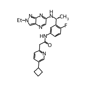 CCn1cc2ncc(N[C@@H](C)c3cc(NC(=O)Cc4ccc(C5CCC5)cn4)ccc3F)nc2n1